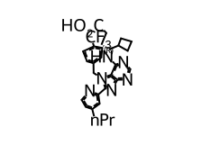 CCCc1ccnc(-c2nc3ncnc(N[C@H](CCC(=O)O)C4CCC4)c3n2Cc2ccc(C(F)(F)F)cc2)c1